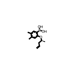 C=CC[C@H](C)Oc1cc(C)c(C)cc1B(O)O